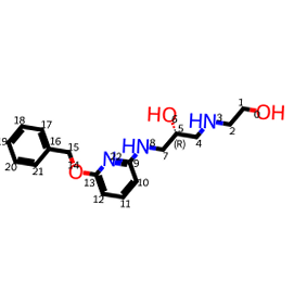 OCCNC[C@@H](O)CNc1cccc(OCc2ccccc2)n1